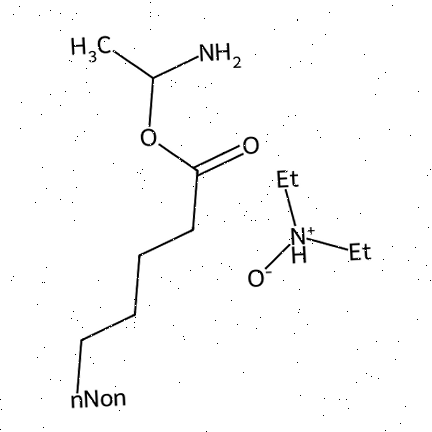 CCCCCCCCCCCCCC(=O)OC(C)N.CC[NH+]([O-])CC